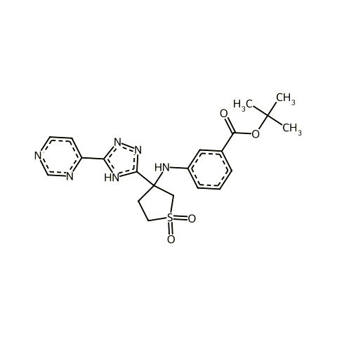 CC(C)(C)OC(=O)c1cccc(NC2(c3nnc(-c4ccncn4)[nH]3)CCS(=O)(=O)C2)c1